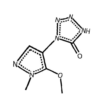 COc1c(-n2nn[nH]c2=O)cnn1C